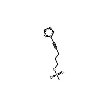 CS(=O)(=O)OCCCC#Cc1cccs1